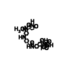 Cn1nc(C2CCC(=O)NC2=O)c2ccc(Nc3ccc(CC(=O)Nc4ccc5c(F)c(N6CC(=O)NS6(=O)=O)c(O)cc5c4)cc3)cc21